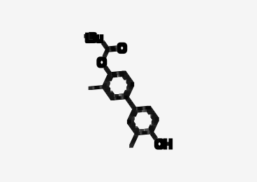 Cc1cc(-c2ccc(OC(=O)C(C)(C)C)c(C)c2)ccc1O